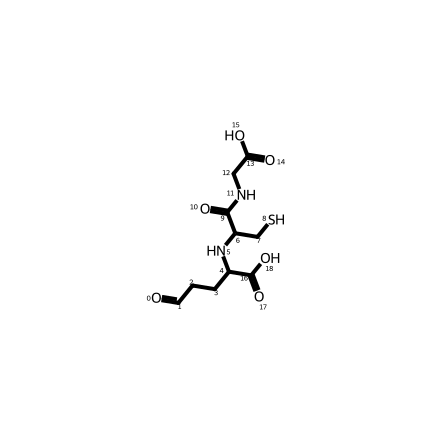 O=CCCC(NC(CS)C(=O)NCC(=O)O)C(=O)O